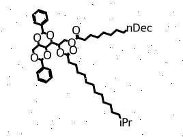 CCCCCCCCCCCCCCCCCC(=O)OCC(OC(=O)CCCCCCCCCCCCC(C)C)C1OC(c2ccccc2)OC2COC(c3ccccc3)OC21